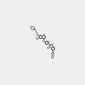 COc1cc2c(Oc3ccc(NC(=O)c4cc(N5CC6(COC6)C5)ccn4)nc3)ccnc2cc1OCCCN1CCOCC1